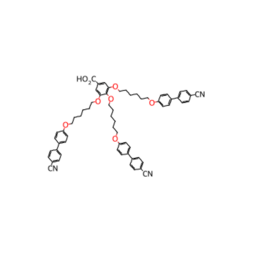 N#Cc1ccc(-c2ccc(OCCCCCCOc3cc(C(=O)O)cc(OCCCCCCOc4ccc(-c5ccc(C#N)cc5)cc4)c3OCCCCCCOc3ccc(-c4ccc(C#N)cc4)cc3)cc2)cc1